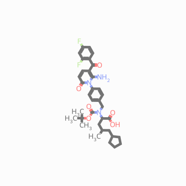 CC(CC1CCCC1)CC(C(=O)O)N(Cc1ccc(-n2c(N)c(C(=O)c3ccc(F)cc3F)ccc2=O)cc1)C(=O)OC(C)(C)C